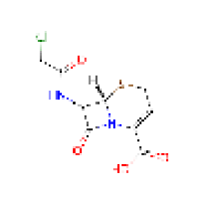 O=C(CCl)NC1C(=O)N2C(C(=O)O)=CCS[C@@H]12